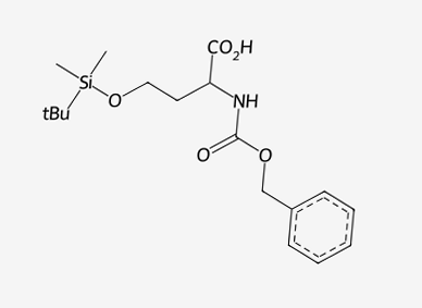 CC(C)(C)[Si](C)(C)OCCC(NC(=O)OCc1ccccc1)C(=O)O